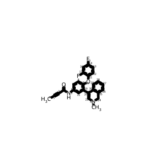 CC#CC(=O)Nc1ccc(Oc2ccc(F)cc2F)c(C2=CN(C)Cc3ccccc32)c1